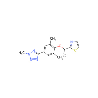 CCC(Oc1c(C)cc(-c2nnn(C)n2)cc1C)c1nccs1